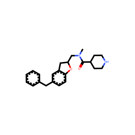 CN(CC1Cc2cc(Cc3ccccc3)ccc2O1)C(=O)C1CCNCC1